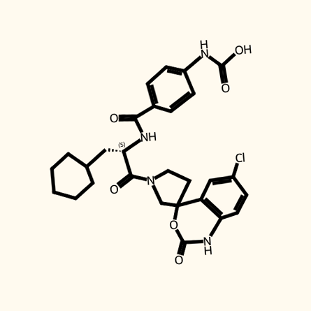 O=C(O)Nc1ccc(C(=O)N[C@@H](CC2CCCCC2)C(=O)N2CCC3(C2)OC(=O)Nc2ccc(Cl)cc23)cc1